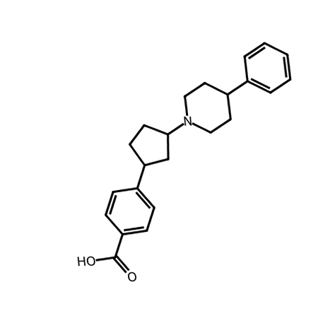 O=C(O)c1ccc(C2CCC(N3CCC(c4ccccc4)CC3)C2)cc1